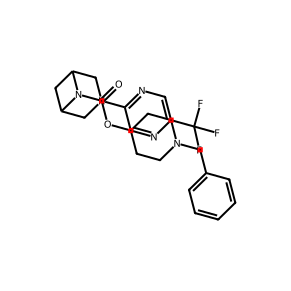 O=C(OC1CCN(Cc2ccccc2)CC1)N1C2CC1CN(c1cnc(C(F)(F)F)cn1)C2